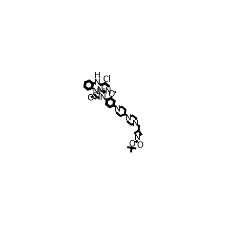 COc1cc(N2CCC(N3CCN(CC4CN(C(=O)OC(C)(C)C)C4)CC3)CC2)ccc1Nc1ncc(Cl)c(Nc2ccccc2N[S+](C)[O-])n1